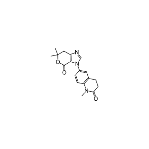 CN1C(=O)CCc2cc(-n3cnc4c3C(=O)OC(C)(C)C4)ccc21